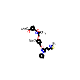 CCc1nc(C=Cc2cn(-c3ccccc3)nc2OCc2ccc(OCc3nc(-c4cccc(C(=O)OC)c4)oc3C)c(OC)c2)cs1